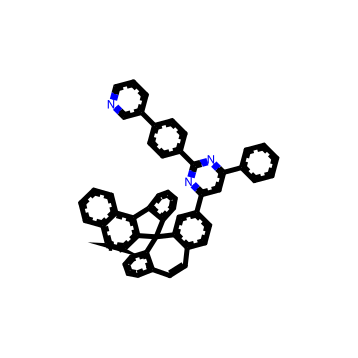 C1=Cc2ccc(-c3cc(-c4ccccc4)nc(-c4ccc(-c5cccnc5)cc4)n3)cc2C2(c3ccccc31)c1ccccc1-c1c2c2ccccc2c2ccccc12